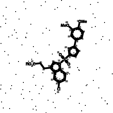 COc1ccc(-c2ccc(S(=O)(=O)n3cc(CCC(=O)O)c4cc(Cl)ccc43)s2)cc1OC